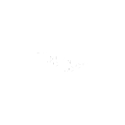 CC(CCc1ccc(C(=O)NCCC(=O)O)cc1)COc1ccc(-c2ccc(C(C)C)cc2)c(CN2CCOCC2)c1